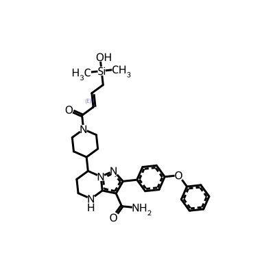 C[Si](C)(O)C/C=C/C(=O)N1CCC(C2CCNc3c(C(N)=O)c(-c4ccc(Oc5ccccc5)cc4)nn32)CC1